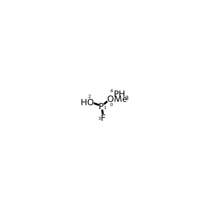 COP(O)F.P